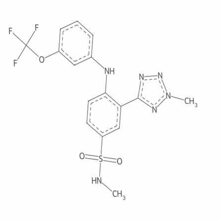 CNS(=O)(=O)c1ccc(Nc2cccc(OC(F)(F)F)c2)c(-c2nnn(C)n2)c1